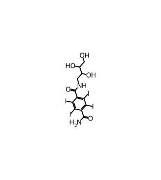 NC(=O)c1c(I)c(I)c(C(=O)NCC(O)C(O)CO)c(I)c1I